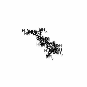 N=C(N)NCCCC(CCC(=O)[C@H](CCCCN)NC(=O)[C@H](Cc1cnc[nH]1)NC(=O)[C@@H]1CCCN1C(=O)[C@@H](CCCN)NC(=O)CNC(=O)[C@H](CO)NC(=O)[C@@H](NC(=O)[C@@H](N)CCCCN)[C@@H](O)CN)C(=O)O